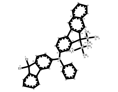 CCC1(CC)c2ccccc2-c2cc(N(c3ccccc3)c3ccc4c(c3)C([Si](C)(C)C)([Si](C)(C)C)c3cc5ccccc5cc3-4)ccc21